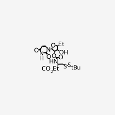 CCOC(=O)[C@H](CSSC(C)(C)C)NC(=O)O[C@H]1C(O)[C@@H](CC)O[C@H]1n1ccc(=O)[nH]c1=O